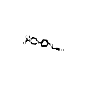 C#CCOc1ccc(N2CCN(C(C)=O)CC2)cc1